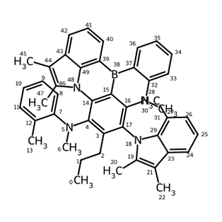 CCCc1c(N(C)c2ccccc2C)c2c3c(c1-n1c(C)c(C)c4cccc(C)c41)N(C)c1ccccc1B3c1cccc3c(C)c(C)n-2c13